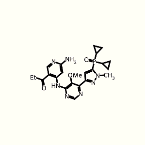 CCC(=O)c1cnc(N)cc1Nc1ncnc(-c2cc(P(=O)(C3CC3)C3CC3)n(C)n2)c1OC